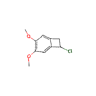 COc1cc2c(cc1OC)C(Cl)C2